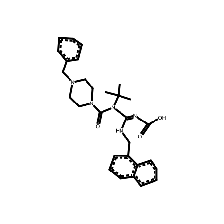 CC(C)(C)N(C(=O)N1CCN(Cc2ccccc2)CC1)C(=NC(=O)O)NCc1cccc2ccccc12